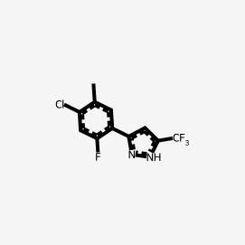 Cc1cc(-c2cc(C(F)(F)F)[nH]n2)c(F)cc1Cl